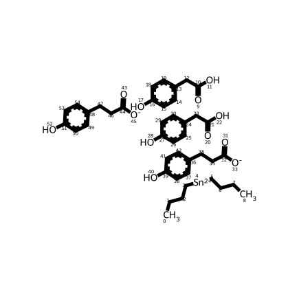 CCC[CH2][Sn+2][CH2]CCC.O=C(O)Cc1ccc(O)cc1.O=C(O)Cc1ccc(O)cc1.O=C([O-])CCc1ccc(O)cc1.O=C([O-])CCc1ccc(O)cc1